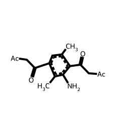 CC(=O)CC(=O)c1cc(C)c(C(=O)CC(C)=O)c(N)c1C